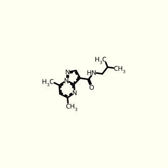 Cc1cc(C)n2ncc(C(=O)NCC(C)C)c2n1